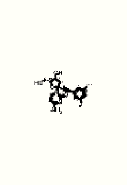 Nc1ccn([C@@]2(C#Cc3cc(I)cc(I)c3)C[C@H](O)[C@@H](CO)O2)c(=O)n1